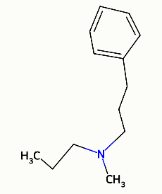 CCCN(C)CCCc1ccccc1